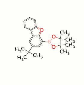 CC(C)(C)c1cc(B2OC(C)(C)C(C)(C)O2)c2oc3ccccc3c2c1